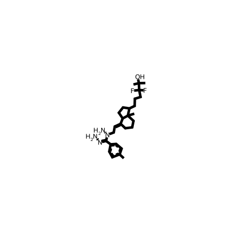 Cc1ccc(/C(=N/N)N(N)C/C=C2\CCCC3(C)C(CCCC(F)(F)C(C)(C)O)CCC23)cc1